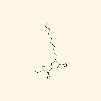 CCCCCCCCCN1CC(C(=O)NCC)CC1=O